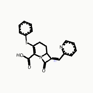 O=C(O)C1=C(Sc2ccccc2)CCC2/C(=C\c3ccccn3)C(=O)N12